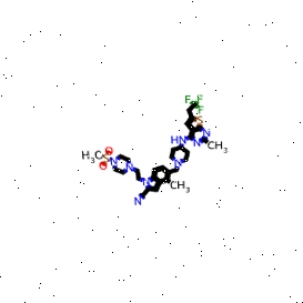 Cc1nc(NC2CCN(Cc3ccc4c(cc(C#N)n4CCN4CCN(S(C)(=O)=O)CC4)c3C)CC2)c2cc(CC(F)(F)F)sc2n1